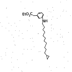 CCOC(=O)Cc1cccc(NCCCCCCCCCCCC2CC2)c1